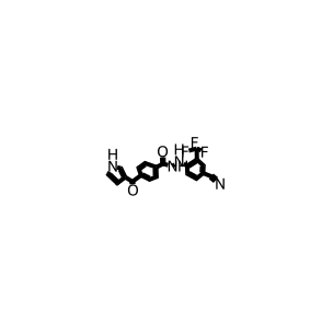 N#Cc1ccc(NNC(=O)c2ccc(C(=O)c3cc[nH]c3)cc2)c(C(F)(F)F)c1